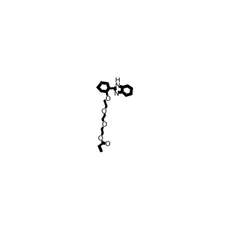 C=CC(=O)OCCOCCOCCOc1ccccc1-c1nc2ccccc2[nH]1